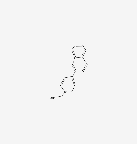 CC(C)(C)C[n+]1ccc(-c2ccc3ccccc3c2)cc1